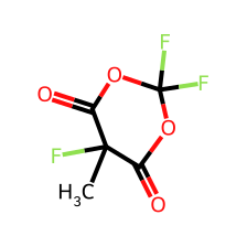 CC1(F)C(=O)OC(F)(F)OC1=O